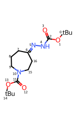 CC(C)(C)OC(=O)N/N=C1/CCCN(C(=O)OC(C)(C)C)CC1